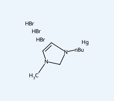 Br.Br.Br.CCCCN1C=CN(C)C1.[Hg]